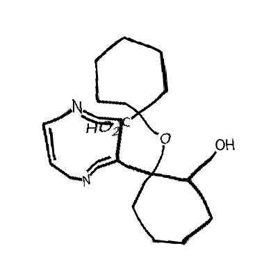 O=C(O)C1(OC2(c3cnccn3)CCCCC2O)CCCCC1